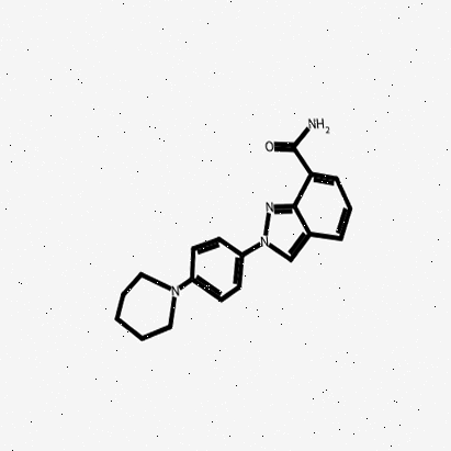 NC(=O)c1cccc2cn(-c3ccc(N4CCCCC4)cc3)nc12